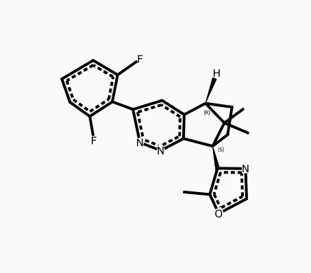 Cc1ocnc1[C@@]12CC[C@@H](c3cc(-c4c(F)cccc4F)nnc31)C2(C)C